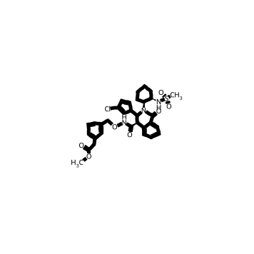 COC(=O)Cc1cccc(CONC(=O)[C@@H]2c3ccccc3C(=O)N([C@H]3CCCC[C@@H]3NS(C)(=O)=O)C2C2C=CC(Cl)=C2)c1